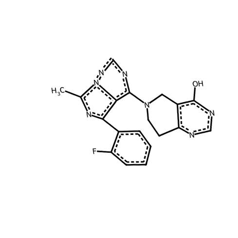 Cc1nc(-c2ccccc2F)c2c(N3CCc4ncnc(O)c4C3)ncnn12